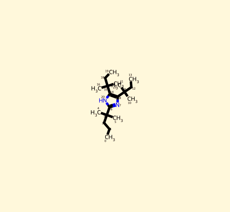 CCCC(C)(C)c1nc(C(C)(C)CC)c(C(C)(C)CC)[nH]1